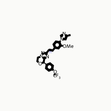 COc1cc(/C=C/c2nc3n(n2)CCO[C@@H]3c2ccc(OC(F)(F)F)cc2)ccc1-n1cnc(C)c1